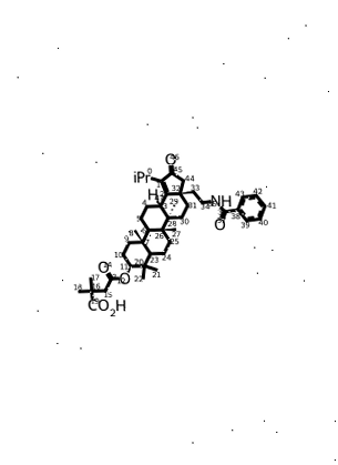 CC(C)C1=C2[C@H]3CCC4[C@@]5(C)CC[C@H](OC(=O)CC(C)(C)C(=O)O)C(C)(C)C5CC[C@@]4(C)[C@]3(C)CC[C@@]2(CCNC(=O)c2ccccc2)CC1=O